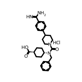 Cl.N=C(N)c1ccc(C2CCN(C(=O)N(Cc3ccccc3)[C@H]3CC[C@H](C(=O)O)CC3)CC2)cc1